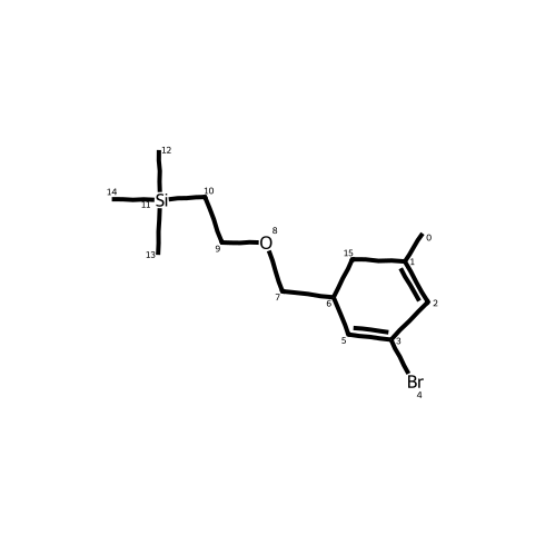 CC1=CC(Br)=CC(COCC[Si](C)(C)C)C1